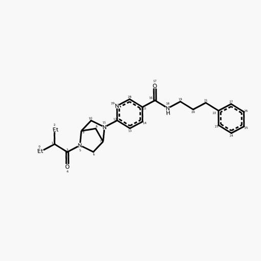 CCC(CC)C(=O)N1CC2CC1CN2c1ccc(C(=O)NCCCc2ccccc2)cn1